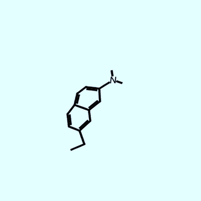 CCc1ccc2ccc(N(C)C)cc2c1